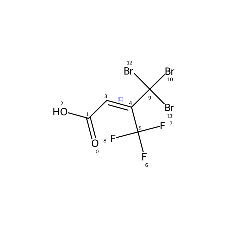 O=C(O)/C=C(\C(F)(F)F)C(Br)(Br)Br